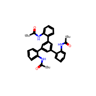 CC(C)(C)C(=O)Nc1ccccc1-c1cc(-c2ccccc2NC(=O)C(C)(C)C)cc(-c2ccccc2NC(=O)C(C)(C)C)c1